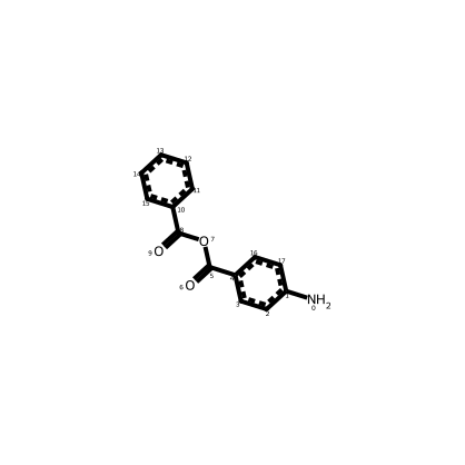 Nc1ccc(C(=O)OC(=O)c2ccccc2)cc1